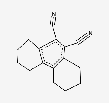 N#Cc1c(C#N)c2c(c3c1CCCC3)CCCC2